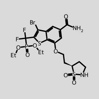 CCOP(=O)(OCC)C(F)(F)c1sc2c(OCC[C@H]3CCNS3(=O)=O)cc(C(N)=O)cc2c1Br